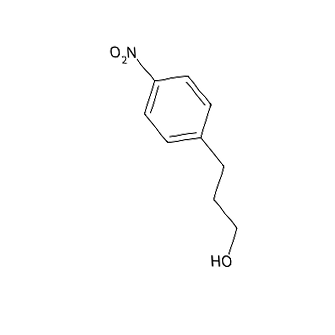 O=[N+]([O-])c1ccc(CCCO)cc1